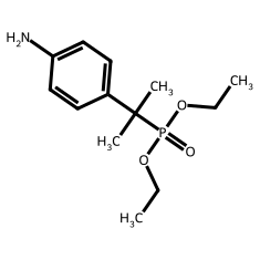 CCOP(=O)(OCC)C(C)(C)c1ccc(N)cc1